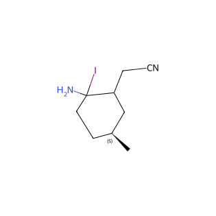 C[C@H]1CCC(N)(I)C(CC#N)C1